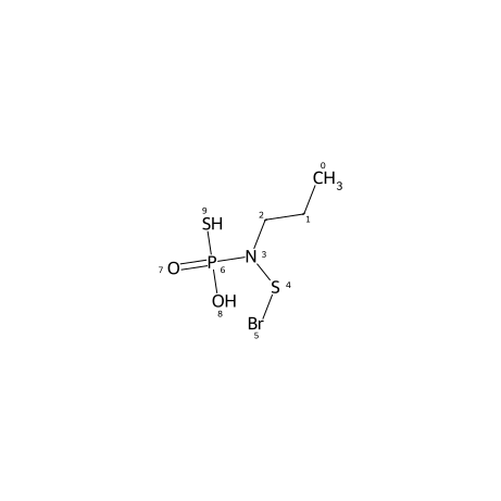 CCCN(SBr)P(=O)(O)S